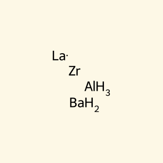 [AlH3].[BaH2].[La].[Zr]